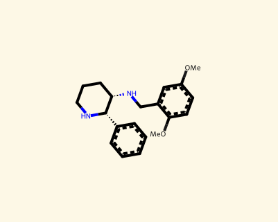 COc1ccc(OC)c(CN[C@H]2CCCN[C@H]2c2ccccc2)c1